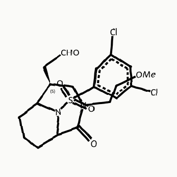 COCCN1C[C@H](CC=O)C2CCCC(C1=O)N2S(=O)(=O)c1cc(Cl)cc(Cl)c1